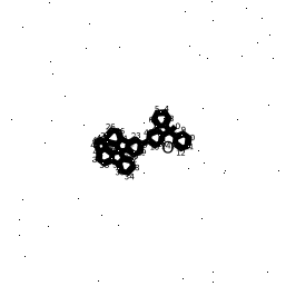 CC1(c2ccccc2)c2ccccc2Oc2cc(-c3ccc4c(c3)-c3ccccc3C43c4ccccc4-c4ccc5ccccc5c43)ccc21